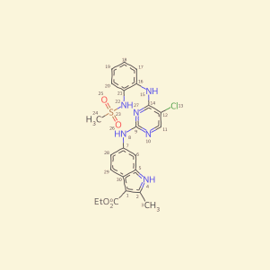 CCOC(=O)c1c(C)[nH]c2cc(Nc3ncc(Cl)c(Nc4ccccc4NS(C)(=O)=O)n3)ccc12